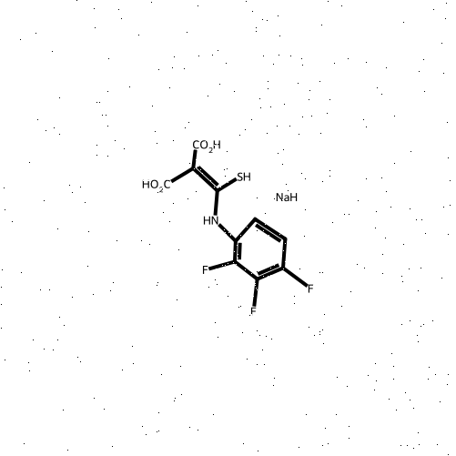 O=C(O)C(C(=O)O)=C(S)Nc1ccc(F)c(F)c1F.[NaH]